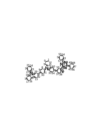 C1=CCC2C(=C1)N(c1ccc(-c3ccc4c5ccccc5n(-c5ccccc5)c4c3)cc1)c1ccc(-c3ccnc(-c4nc(-c5ccccc5)nc(-c5ccccc5)n4)c3)cc12